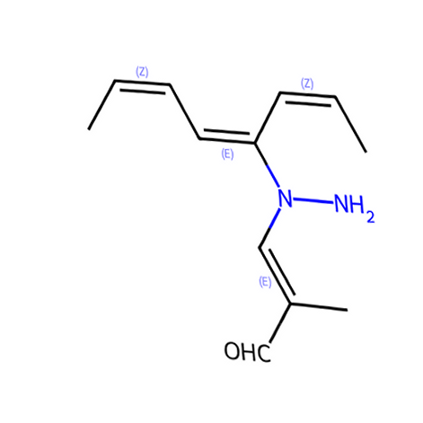 C\C=C/C=C(\C=C/C)N(N)/C=C(\C)C=O